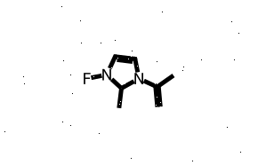 C=C(C)N1C=CN(F)C1C